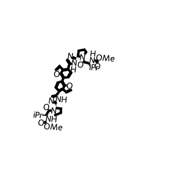 COC(=O)N[C@H](C(=O)N1CCC[C@H]1c1ncc(-c2ccc(-c3ccc(-c4cnc([C@@H]5CCCN5C(=O)[C@@H](NC(=O)OC)C(C)C)[nH]4)c4ccoc34)c3occc23)[nH]1)C(C)C